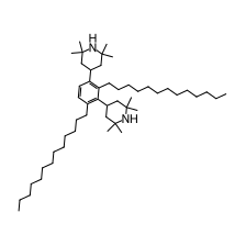 CCCCCCCCCCCCCc1ccc(C2CC(C)(C)NC(C)(C)C2)c(CCCCCCCCCCCCC)c1C1CC(C)(C)NC(C)(C)C1